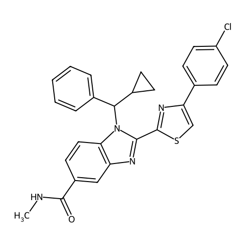 CNC(=O)c1ccc2c(c1)nc(-c1nc(-c3ccc(Cl)cc3)cs1)n2C(c1ccccc1)C1CC1